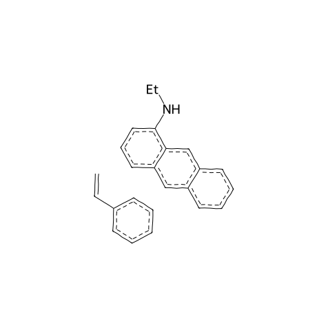 C=Cc1ccccc1.CCNc1cccc2cc3ccccc3cc12